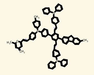 C=C1C=C(C)OC(/C=C/c2ccc(N(c3ccc(C)cc3)c3ccc(-c4cc(/C=C/c5ccc(N(c6ccccc6)c6ccccc6)cc5)c(-c5ccc6c(c5)Cc5cc(C)ccc5-6)cc4/C=C/c4ccc(N(c5ccccc5)c5ccccc5)cc4)cc3)cc2)=C1